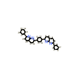 c1ccc(-c2ccc3ccc(-c4ccc(-c5ccc6ccc(-c7ccccc7)nc6n5)cc4)nc3n2)cc1